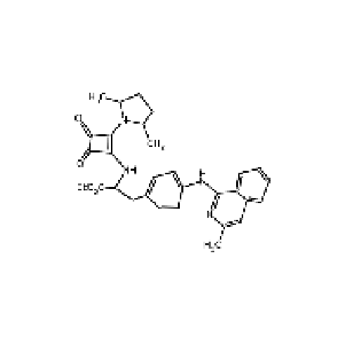 CCOC(=O)C(Cc1ccc(Nc2nc(C)cc3ccccc23)cc1)Nc1c(N2C(C)CCC2C)c(=O)c1=O